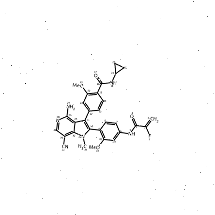 C=C(F)C(=O)Nc1ccc(-c2c(-c3ccc(C(=O)NC4CC4)c(OC)c3)c3c(N)ncc(C#N)c3n2C)c(OC)c1